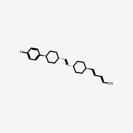 N#CC=CC=C[C@H]1CC[C@H](/C=C/[C@H]2CC[C@H](c3ccc(F)cc3)CC2)CC1